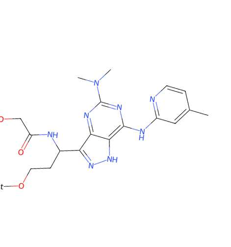 CCOCCC(NC(=O)CO)c1n[nH]c2c(Nc3cc(C)ccn3)nc(N(C)C)nc12